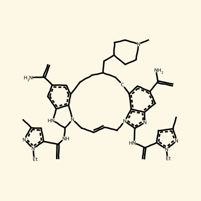 C=C(N)c1cc2c3c(c1)NC(NC(=C)c1cc(C)nn1CC)N3C/C=C/Cn1c(NC(=C)c3cc(C)nn3CC)nc3cc(C(=C)N)cc(c31)CCC(CC1CCN(C)CC1)CC2